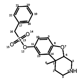 CC12CCNCC1Oc1ccc(OS(=O)(=O)Cc3ccccc3)cc12